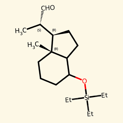 CC[Si](CC)(CC)OC1CCC[C@@]2(C)C1CC[C@@H]2[C@H](C)C=O